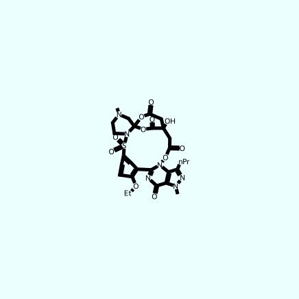 CCCc1nn(C)c2c(=O)nc3n(c12)OC(=O)CC1(O)CC(=O)OC2(CN(C)CCN2S(=O)(=O)c2ccc(OCC)c-3c2)OC1=O